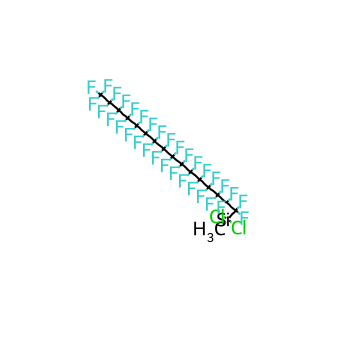 C[Si](Cl)(Cl)C(F)(F)C(F)(F)C(F)(F)C(F)(F)C(F)(F)C(F)(F)C(F)(F)C(F)(F)C(F)(F)C(F)(F)C(F)(F)C(F)(F)C(F)(F)C(F)(F)C(F)(F)C(F)(F)F